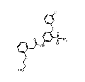 NS(=O)(=O)c1cc(NC(=O)Cc2ccccc2OCCO)ccc1Oc1cccc(Cl)c1